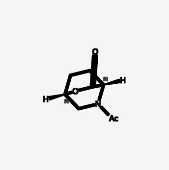 CC(=O)N1C[C@@H]2CC[C@H]1C(=O)O2